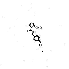 O=CN1CCC[C@H]1C(=O)NCc1ccc(CCl)cc1